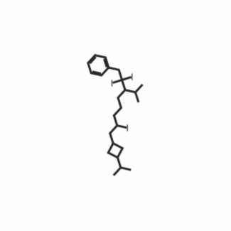 CC(C)C1CC(CC(I)CCCC(C(C)C)C(I)(I)Cc2ccccc2)C1